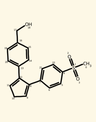 CS(=O)(=O)c1ccc(C2=CCC=C2c2ccc(CO)cc2)cc1